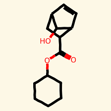 O=C(OC1CCCCC1)C1CC2C=CC1C2O